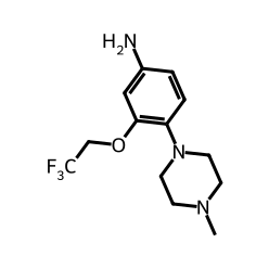 CN1CCN(c2ccc(N)cc2OCC(F)(F)F)CC1